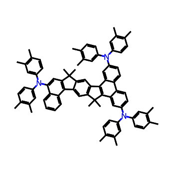 Cc1ccc(N(c2ccc(C)c(C)c2)c2ccc3c(c2)c2c(c4cc(N(c5ccc(C)c(C)c5)c5ccc(C)c(C)c5)ccc43)C(C)(C)c3cc4c(cc3-2)C(C)(C)c2cc(N(c3ccc(C)c(C)c3)c3ccc(C)c(C)c3)c3ccccc3c2-4)cc1C